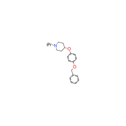 CC(C)N1CCC(Oc2ccc(OCc3ccccc3)cc2)CC1